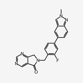 Cn1cc2cc(-c3ccc(CN4Cc5ncncc5C4=O)c(F)c3)ccc2n1